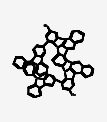 CC(C)(C)c1cc(-c2ccc3c(c2)c2ccccc2n3-c2ccccc2)c2c(c1)c1c3ccccc3cc3c4c5c6cc7ccccc7c7c8cc(C(C)(C)C)cc(-c9ccc%10c(c9)c9ccccc9n%10-c9ccccc9)c8n(c5ccc4n2c31)c67